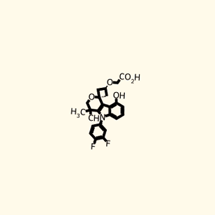 CC1(C)CO[C@]2(C[C@@H](OCC(=O)O)C2)c2c1n(-c1ccc(F)c(F)c1)c1cccc(O)c12